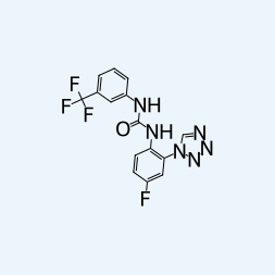 O=C(Nc1cccc(C(F)(F)F)c1)Nc1ccc(F)cc1-n1cnnn1